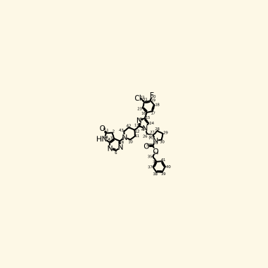 O=C1Cc2c(ncnc2N2CCC(c3nc(-c4ccc(F)c(Cl)c4)cn3C[C@H]3CCCN3C(=O)OCc3ccccc3)CC2)N1